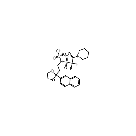 CS(=O)(=O)N(CCC1(c2ccc3ccccc3c2)OCCO1)S(=O)(=O)C(F)(F)C(=O)N1CCCCC1